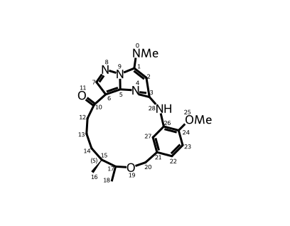 CNc1cc2nc3c(cnn13)C(=O)CCC[C@H](C)C(C)OCc1ccc(OC)c(c1)N2